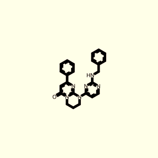 O=c1cc(-c2ccccc2)nc2n1CCCN2c1ccnc(NCc2ccccc2)n1